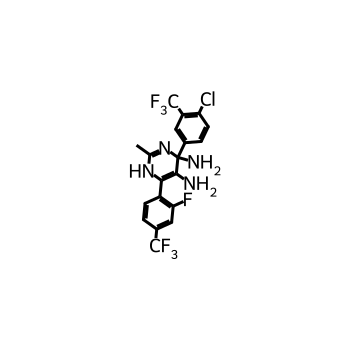 CC1=NC(N)(c2ccc(Cl)c(C(F)(F)F)c2)C(N)=C(c2ccc(C(F)(F)F)cc2F)N1